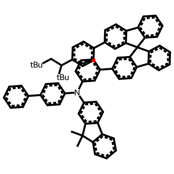 CC(C)(C)CC(c1ccc(-c2ccc3c(c2)C2(c4ccccc4-3)c3ccccc3-c3ccc(-c4cccc(N(c5ccc(-c6ccccc6)cc5)c5ccc6c(c5)C(C)(C)c5ccccc5-6)c4)cc32)cc1)C(C)(C)C